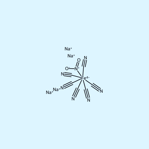 N#[C][Fe-4]([C]#N)([C]#N)([C]#N)([C]#N)([C]#N)[N+](=O)[O-].[Na+].[Na+].[Na+].[Na+]